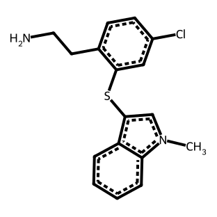 Cn1cc(Sc2cc(Cl)ccc2CCN)c2ccccc21